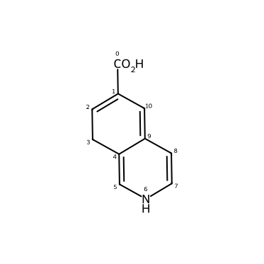 O=C(O)C1=CCC2=CNC=CC2=C1